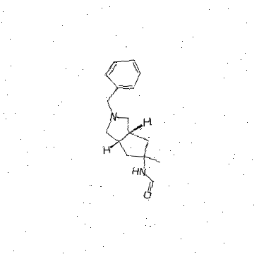 CC1(NC=O)C[C@H]2CN(Cc3ccccc3)C[C@H]2C1